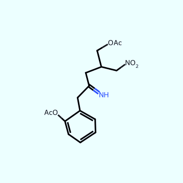 CC(=O)OCC(CC(=N)Cc1ccccc1OC(C)=O)C[N+](=O)[O-]